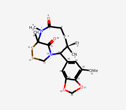 CC[C@]1(C#N)CCC(=O)N(C)C2(C)SSCN(C2=O)C1c1cc(OC)c2c(c1)OCO2